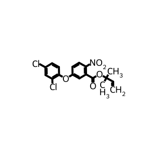 C=CC(C)(C)OC(=O)c1cc(Oc2ccc(Cl)cc2Cl)ccc1[N+](=O)[O-]